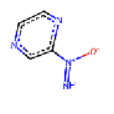 N=[N+]([O-])c1cnccn1